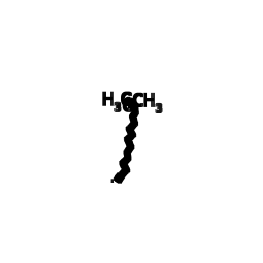 [C]#CCCCCCCCCCCCC(C)OC